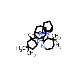 CC1(C)CC2CC(C)(CN2C2(N3CC4CCCC3CCC4)[N]CCCC(C)(C)C2N2CC3CCC(CC3)C2)C1